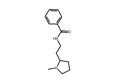 CN1CCCC1CCNC(=O)c1cc[c]cc1